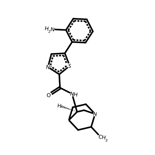 CC1CC2CCN1C[C@@H]2NC(=O)c1ncc(-c2ccccc2N)s1